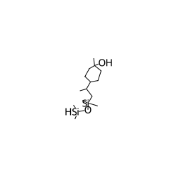 CC(C[Si](C)(C)O[SiH](C)C)C1CCC(C)(O)CC1